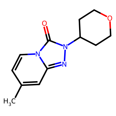 Cc1ccn2c(=O)n(C3CCOCC3)nc2c1